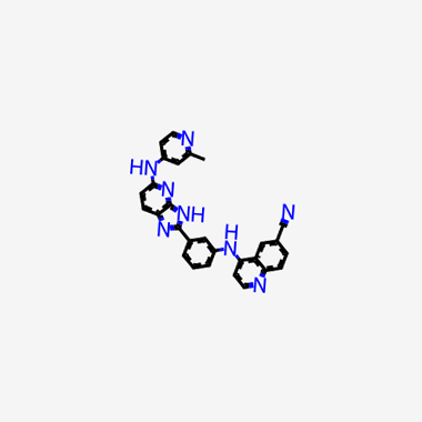 Cc1cc(Nc2ccc3nc(-c4cccc(Nc5ccnc6ccc(C#N)cc56)c4)[nH]c3n2)ccn1